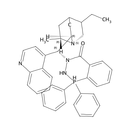 CCC1C[N@]2[C@H](C)CC1C[C@@H]2[C@@H](c1ccnc2ccccc12)N1N[PH](c2ccccc2)(c2ccccc2)c2ccccc2C1=O